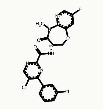 CN1C(=O)[C@@H](NC(=O)c2ncc(Cl)c(-c3cccc(Cl)c3)n2)COc2cc(F)cnc21